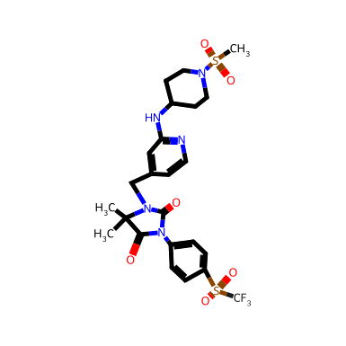 CC1(C)C(=O)N(c2ccc(S(=O)(=O)C(F)(F)F)cc2)C(=O)N1Cc1ccnc(NC2CCN(S(C)(=O)=O)CC2)c1